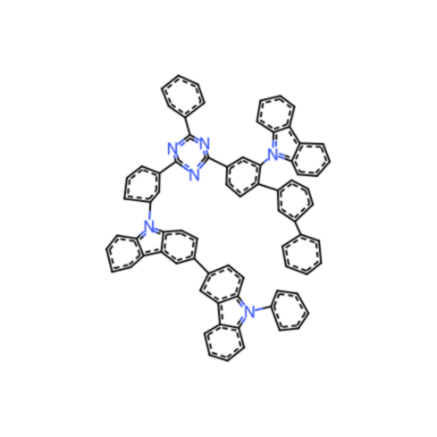 c1ccc(-c2cccc(-c3ccc(-c4nc(-c5ccccc5)nc(-c5cccc(-n6c7ccccc7c7cc(-c8ccc9c(c8)c8ccccc8n9-c8ccccc8)ccc76)c5)n4)cc3-n3c4ccccc4c4ccccc43)c2)cc1